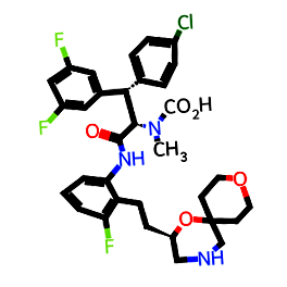 CN(C(=O)O)[C@H](C(=O)Nc1cccc(F)c1CC[C@@H]1CNCC2(CCOCC2)O1)[C@@H](c1ccc(Cl)cc1)c1cc(F)cc(F)c1